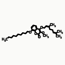 CCCCCCCCCCOc1cccc2c(OCC=C(C)CCC=C(C)C)c(OC)c(=O)oc12